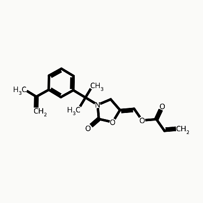 C=CC(=O)OC=C1CN(C(C)(C)c2cccc(C(=C)C)c2)C(=O)O1